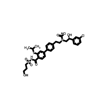 CC(C)Sc1cc(-c2ccc(CCN(C[C@@H](O)c3cccc(Cl)c3)C(=O)O)cc2)ccc1C(=O)NS(=O)(=O)CCCO